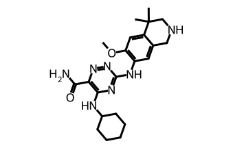 COc1cc2c(cc1Nc1nnc(C(N)=O)c(NC3CCCCC3)n1)CNCC2(C)C